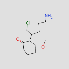 CO.NCCCC(CCl)C1CCCCC1=O